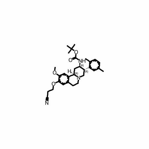 COc1cc2c(cc1OCCC#N)CCN1C[C@@H](c3cc(C)ccc3C)[C@H](NC(=O)OC(C)(C)C)C[C@H]21